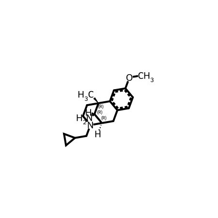 COc1ccc2c(c1)[C@@]1(C)CCN(CC3CC3)[C@H](C2)[C@@H]1N